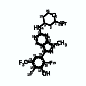 CC(C)C1CC(Nc2ncc3c(-c4cc(C(F)(F)F)c(F)c(O)c4F)nn(C)c3n2)CCO1